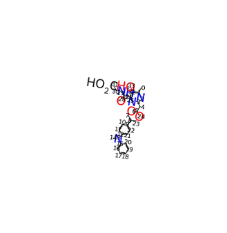 Cc1nc(CC2OCC(c3ccc(N(C)c4ccccc4)cc3)CO2)nc(C(=O)NCC(=O)O)c1O